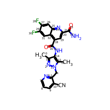 Cc1nn(Cc2ncccc2C#N)c(C)c1NC(=O)c1cc(C(N)=O)nc2cc(F)c(F)cc12